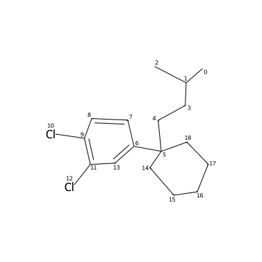 CC(C)CCC1(c2ccc(Cl)c(Cl)c2)CCCCC1